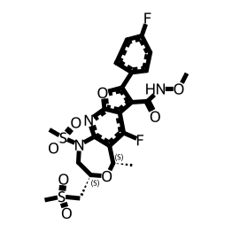 CONC(=O)c1c(-c2ccc(F)cc2)oc2nc3c(c(F)c12)[C@H](C)O[C@H](CS(C)(=O)=O)CN3S(C)(=O)=O